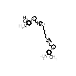 Cc1cc(N2CCCC2Cn2cc[n+](CCCCCCn3cc[n+](CC4CCCN4c4ccc(N)c(C)c4)c3)c2)ccc1N